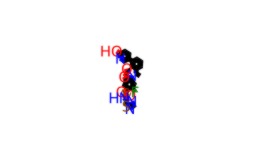 CC(c1cccc(-c2ccc(O)nc2)c1)n1c(=O)oc2cc(S(=O)(=O)Nc3ncns3)c(F)cc21